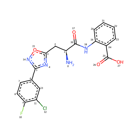 N[C@@H](Cc1nc(-c2ccc(F)c(Cl)c2)no1)C(=O)Nc1ccccc1C(=O)O